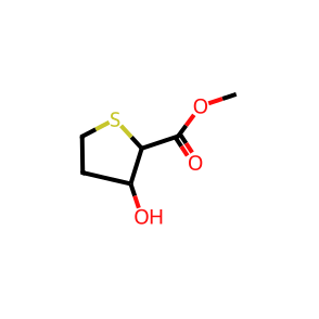 COC(=O)C1SCCC1O